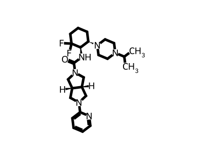 CC(C)N1CCN([C@H]2CCCC(F)(F)[C@@H]2NC(=O)N2C[C@@H]3CN(c4ccccn4)C[C@@H]3C2)CC1